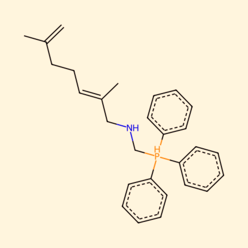 C=C(C)CC/C=C(\C)CNC[PH](c1ccccc1)(c1ccccc1)c1ccccc1